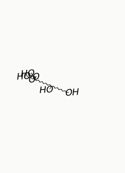 O=C(CCCCCCCCC(O)CCCCCCCCO)OC(CO)CO